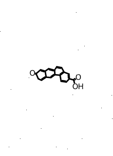 O=C1C=c2cc3ccc4cc(C(=O)O)ccc4c3cc2=CC1